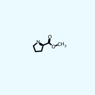 COC(=O)C1=NCCC1